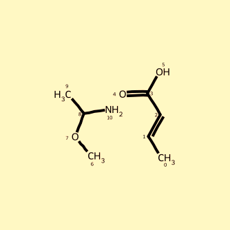 C/C=C/C(=O)O.COC(C)N